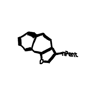 CCCCCc1coc2c1ccc1ccccc12